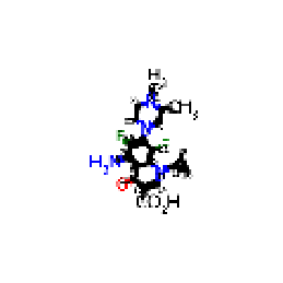 CC1CN(c2c(F)c(N)c3c(=O)c(C(=O)O)cn(C4CC4)c3c2F)CCN1C